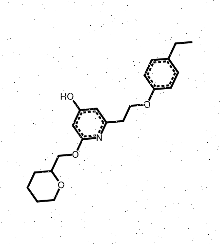 CCc1ccc(OCCc2cc(O)cc(OCC3CCCCO3)n2)cc1